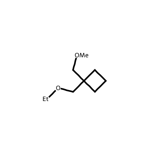 CCOCC1(COC)CCC1